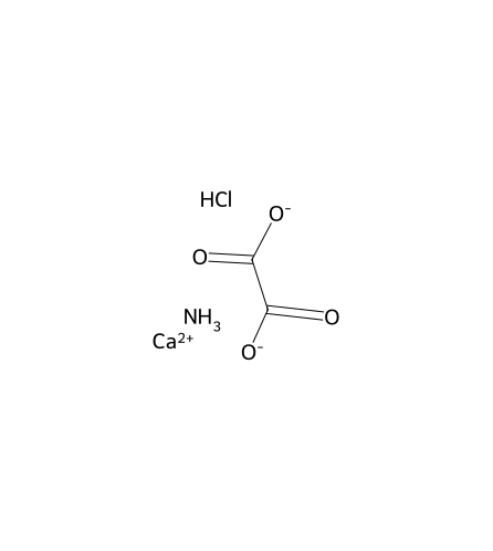 Cl.N.O=C([O-])C(=O)[O-].[Ca+2]